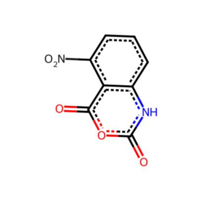 O=c1[nH]c2cccc([N+](=O)[O-])c2c(=O)o1